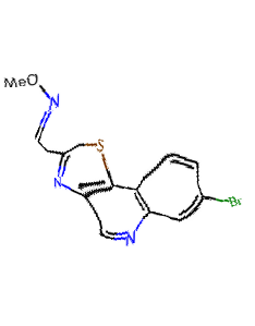 CON=Cc1nc2cnc3cc(Br)ccc3c2s1